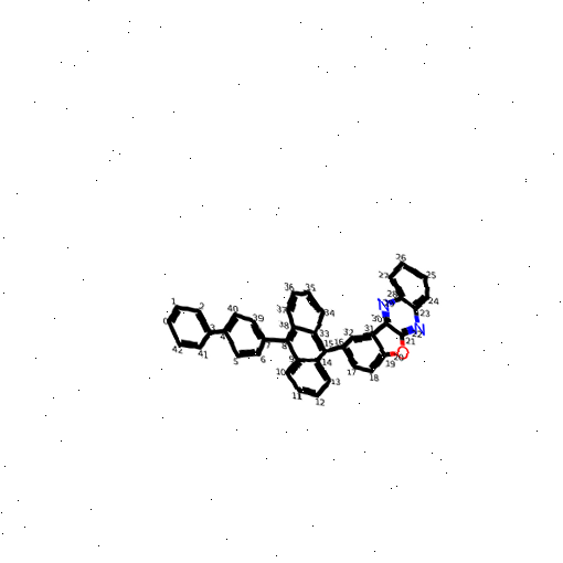 c1ccc(-c2ccc(-c3c4ccccc4c(-c4ccc5oc6nc7ccccc7nc6c5c4)c4ccccc34)cc2)cc1